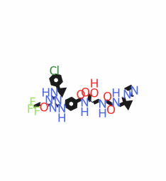 O=C(NCC[C@H](NC(=O)c1ccc(Nc2nc(NC3(c4ccc(Cl)cc4)CC3)nc(OCC(F)(F)F)n2)cc1)C(=O)O)C(=O)NCC1(Cn2ccnc2)CC1